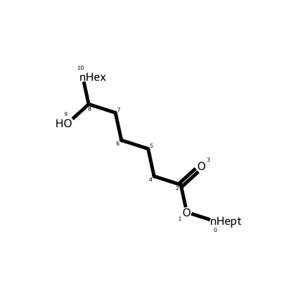 CCCCCCCOC(=O)CCCCC(O)CCCCCC